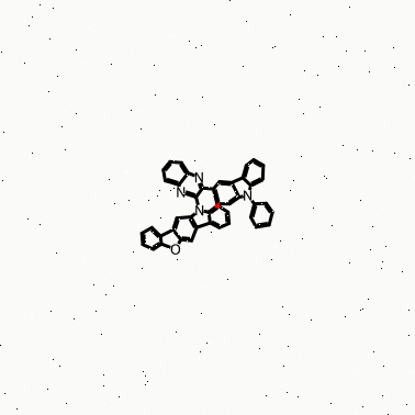 c1ccc(-n2c3ccccc3c3cc(-c4nc5ccccc5nc4-n4c5ccccc5c5cc6oc7ccccc7c6cc54)ccc32)cc1